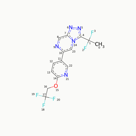 CC(F)(F)c1nnc2cnc(-c3ccc(OCC(F)(F)F)nc3)cn12